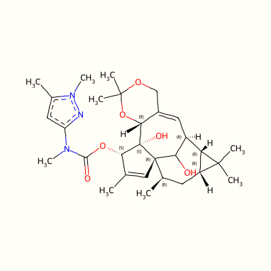 CC1=C[C@]23C(O)[C@@H](C=C4COC(C)(C)O[C@H]4[C@]2(O)[C@H]1OC(=O)N(C)c1cc(C)n(C)n1)[C@H]1[C@@H](C[C@H]3C)C1(C)C